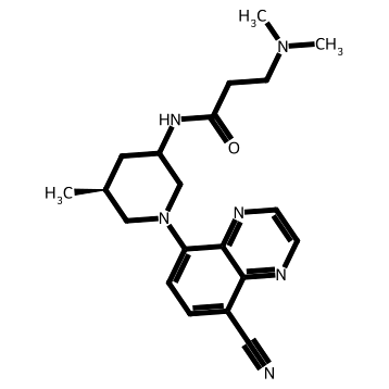 C[C@H]1CC(NC(=O)CCN(C)C)CN(c2ccc(C#N)c3nccnc23)C1